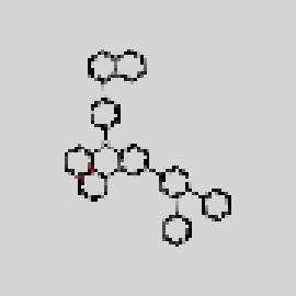 c1ccc(-c2ccc(-c3ccc(N(c4ccccc4)c4ccc(-c5cccc6ccccc56)cc4)c(-c4ccccc4)c3)cc2-c2ccccc2)cc1